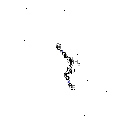 CC[n+]1ccc(/C=C/c2ccc(N(C)CCCN(C)C(=O)C(N)CSSCC(N)C(=O)N(C)CCCN(C)c3ccc(/C=C/C4=CC5C[N+]5(CC)C=C4)cc3)cc2)cc1C